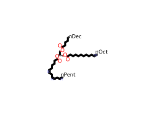 CCCCC/C=C\C/C=C\C/C=C\CCCCC(=O)O[C@@H](COC(=O)CCCCCCCCC/C=C\CCCCCCCC)COC(=O)CCCCCCCCCCCCCC